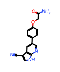 N#Cc1c[nH]c2ncc(-c3ccc(OCC(N)=O)cc3)cc12